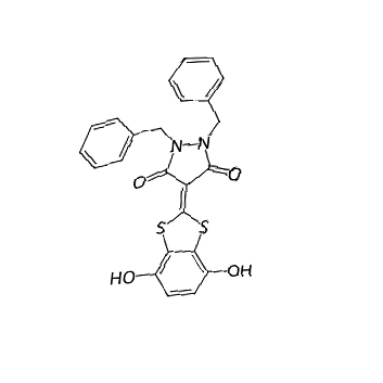 O=C1C(=C2Sc3c(O)ccc(O)c3S2)C(=O)N(Cc2ccccc2)N1Cc1ccccc1